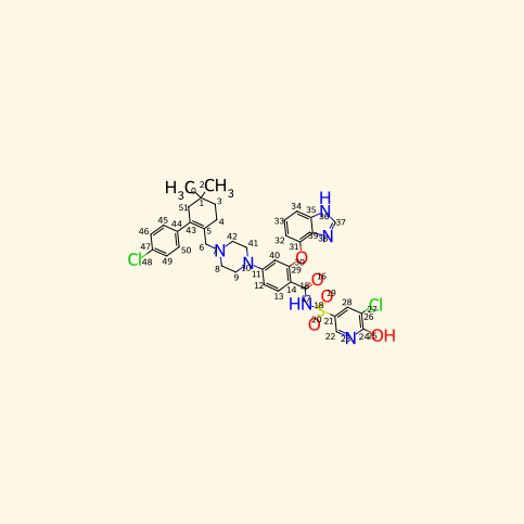 CC1(C)CCC(CN2CCN(c3ccc(C(=O)NS(=O)(=O)c4cnc(O)c(Cl)c4)c(Oc4cccc5[nH]cnc45)c3)CC2)=C(c2ccc(Cl)cc2)C1